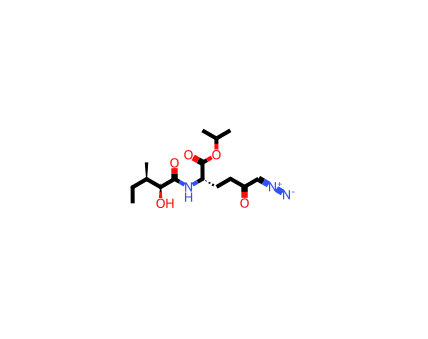 CC[C@@H](C)[C@H](O)C(=O)N[C@@H](CCC(=O)C=[N+]=[N-])C(=O)OC(C)C